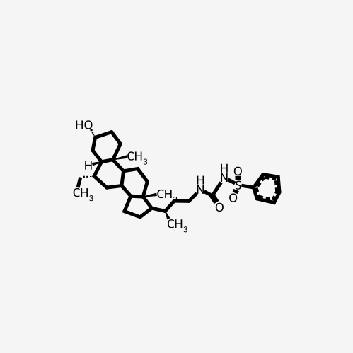 CC[C@H]1CC2C3CCC([C@H](C)CCNC(=O)NS(=O)(=O)c4ccccc4)[C@@]3(C)CCC2[C@@]2(C)CC[C@@H](O)C[C@@H]12